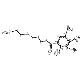 CCCCCCCCCCCCCCCCCC(=O)c1cc(C(C)(C)C)c(O)c(C(C)(C)C)c1N